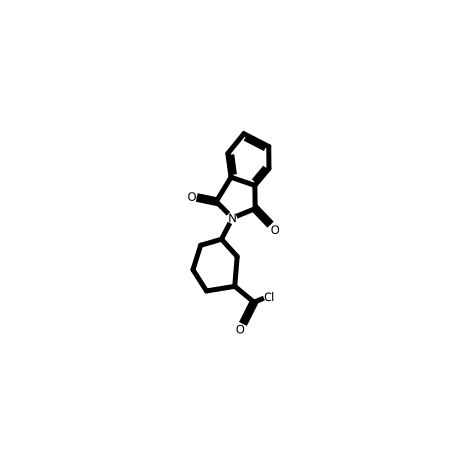 O=C(Cl)C1CCCC(N2C(=O)c3ccccc3C2=O)C1